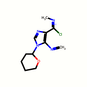 C=Nc1c(/C(Cl)=N\C)ncn1C1CCCCO1